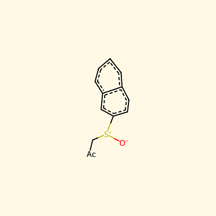 CC(=O)C[S+]([O-])c1ccc2ccccc2c1